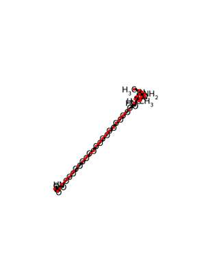 CCCCc1nc2c(N)nnc(OC(C)C)c2n1Cc1ccc(CNC(=O)CCOCCOCCOCCOCCOCCOCCOCCOCCOCCOCCOCCOCCOCCOCCOCCOCCOCCOCCOCCOCCNC(=O)C=CN2C(=O)C=CC2=O)cc1